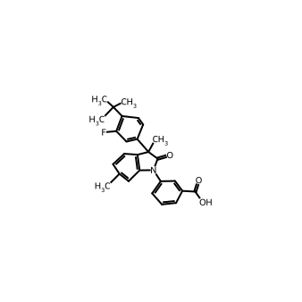 Cc1ccc2c(c1)N(c1cccc(C(=O)O)c1)C(=O)C2(C)c1ccc(C(C)(C)C)c(F)c1